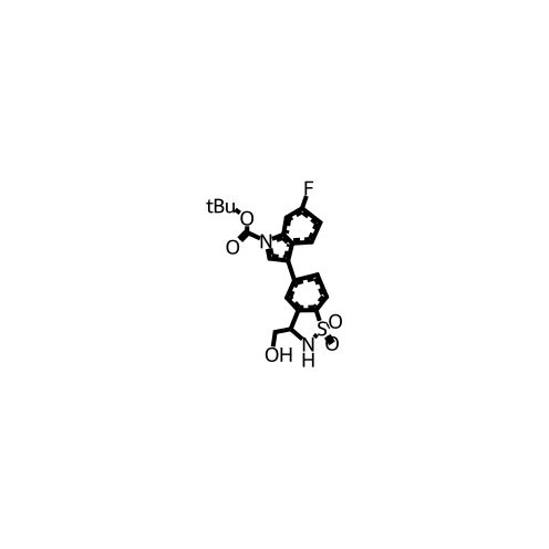 CC(C)(C)OC(=O)n1cc(-c2ccc3c(c2)C(CO)NS3(=O)=O)c2ccc(F)cc21